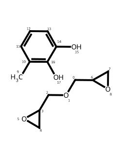 C(OCC1CO1)C1CO1.Cc1cccc(O)c1O